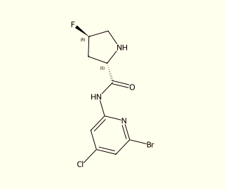 O=C(Nc1cc(Cl)cc(Br)n1)[C@@H]1C[C@@H](F)CN1